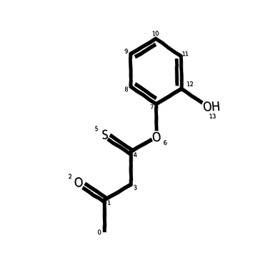 CC(=O)CC(=S)Oc1ccccc1O